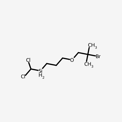 CC(C)(Br)COCCC[SiH2]C(Cl)Cl